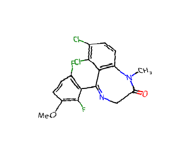 COc1ccc(F)c(C2=NCC(=O)N(C)c3ccc(Cl)c(Cl)c32)c1F